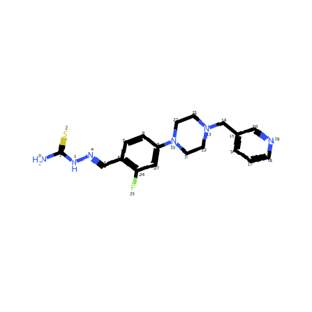 NC(=S)N/N=C/c1ccc(N2CCN(Cc3cccnc3)CC2)cc1F